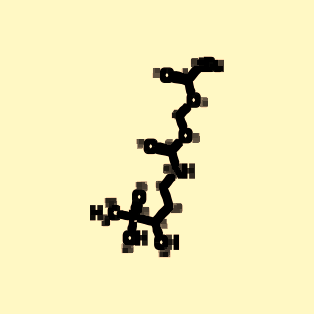 CC(C)(C)C(=O)OCOC(=O)NCCC(O)P(C)(=O)O